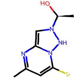 CC1=NC2=CN([C@H](C)O)NN2C([S])=C1